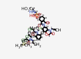 C#CCN1C(=O)COc2cc(F)c(N3C(=O)C4=C(CCCC4)C3=O)cc21.C=CCN(CC=C)C(=O)C(Cl)Cl.CCc1cccc(CC)c1N(COC)C(=O)CCl.C[S+](C)C.O=C(O)CNCP(=O)([O-])O